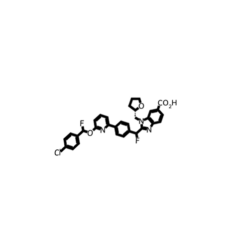 O=C(O)c1ccc2nc(C(F)c3ccc(-c4cccc(OC(F)c5ccc(Cl)cc5)n4)cc3)n(C[C@@H]3CCCO3)c2c1